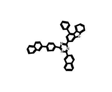 c1ccc(-c2cc(-c3nc(-c4ccc(-c5ccc6ccccc6c5)cc4)nc(-c4ccc5ccccc5c4)n3)cc3sc4ccccc4c23)cc1